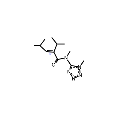 CC(C)/C=C(/C(=O)N(C)c1nnnn1C)C(C)C